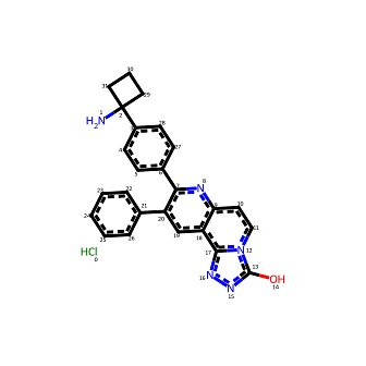 Cl.NC1(c2ccc(-c3nc4ccn5c(O)nnc5c4cc3-c3ccccc3)cc2)CCC1